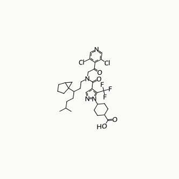 CC(C)CCC(CCN(CC(=O)c1c(Cl)cncc1Cl)C(=O)c1cnn(C2CCC(C(=O)O)CC2)c1C(F)(F)F)C12CCCC1C2